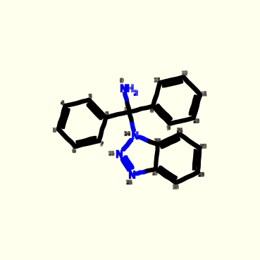 NC(c1ccccc1)(c1ccccc1)n1nnc2ccccc21